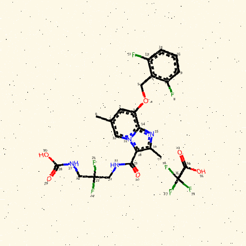 Cc1cc(OCc2c(F)cccc2F)c2nc(C)c(C(=O)NCC(F)(F)CNC(=O)O)n2c1.O=C(O)C(F)(F)F